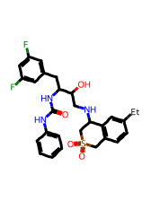 CCc1ccc2c(c1)C(NCC(O)C(Cc1cc(F)cc(F)c1)NC(=O)Nc1ccccc1)CS(=O)(=O)C2